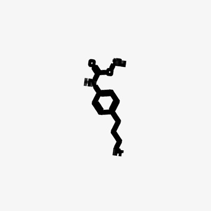 CC(C)CCCc1ccc(NC(=O)OC(C)(C)C)cc1